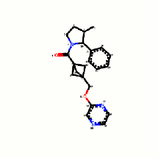 CC1CCN(C(=O)C23CC(COc4cnccn4)(C2)C3)C1c1ccccc1